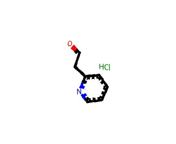 Cl.O=CCc1ccccn1